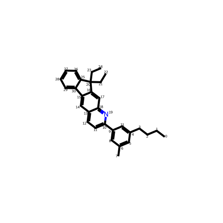 CCCCc1cc(C)cc(-c2ccc3cc4c(cc3n2)C(CC)(CC)c2ccccc2-4)c1